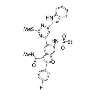 CCS(=O)(=O)Nc1cc2oc(-c3ccc(F)cc3)c(C(=O)NC)c2cc1-c1cc(-c2cc3ccccc3[nH]2)nc(SC)n1